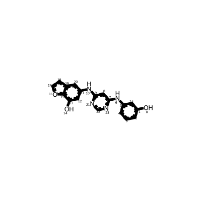 Oc1cccc(Nc2cc(Nc3cc(O)c4occc4c3)ncn2)c1